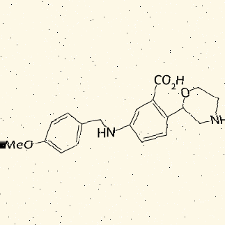 COc1ccc(CNc2ccc(C3CNCCO3)c(C(=O)O)c2)cc1